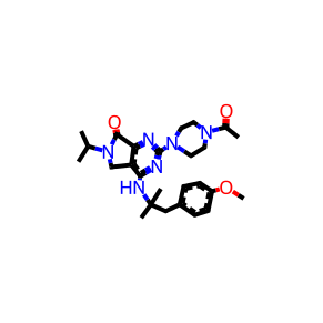 COc1ccc(CC(C)(C)Nc2nc(N3CCN(C(C)=O)CC3)nc3c2CN(C(C)C)C3=O)cc1